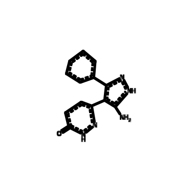 Nc1[nH]nc(-c2ccccc2)c1-c1ccc(=O)[nH]n1